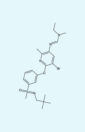 CCN(C)C=Nc1cc(Br)c(Oc2cccc(S(C)(=O)=NCC(C)(C)C)c2)nc1C